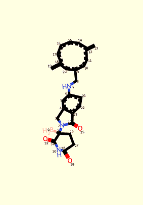 BC1(N2Cc3cc(NCc4ccc(=C)ccccc(=C)c4)ccc3C2=O)CCC(=O)NC1=O